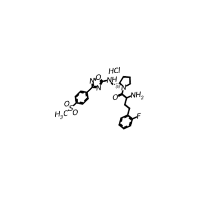 CS(=O)(=O)c1ccc(-c2noc(NC[C@@H]3CCCN3C(=O)C(N)CCc3ccccc3F)n2)cc1.Cl